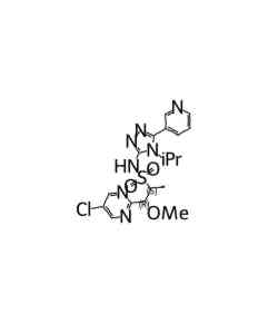 CO[C@H](c1ncc(Cl)cn1)[C@H](C)S(=O)(=O)Nc1nnc(-c2cccnc2)n1C(C)C